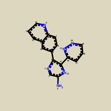 Nc1cnc(-c2ccc3ncccc3c2)c(-c2cccnn2)n1